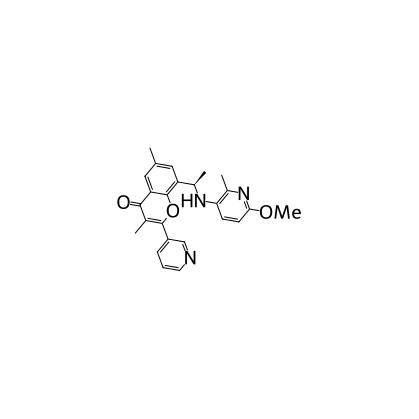 COc1ccc(N[C@H](C)c2cc(C)cc3c(=O)c(C)c(-c4cccnc4)oc23)c(C)n1